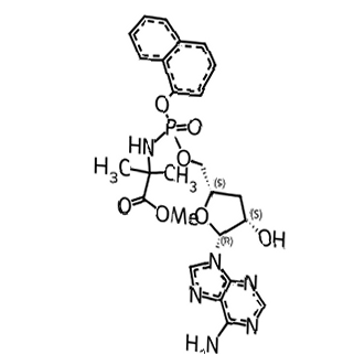 COC(=O)C(C)(C)NP(=O)(OC[C@@H]1C[C@H](O)[C@H](n2cnc3c(N)ncnc32)O1)Oc1cccc2ccccc12